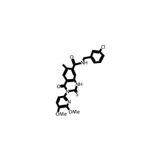 COc1ccc(-n2c(=S)[nH]c3cc(C(=O)NCc4cccc(Cl)c4)c(C)cc3c2=O)nc1OC